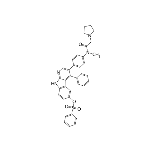 CN(C(=O)CN1CCCC1)c1ccc(-c2cnc3[nH]c4ccc(OS(=O)(=O)c5ccccc5)cc4c3c2-c2ccccc2)cc1